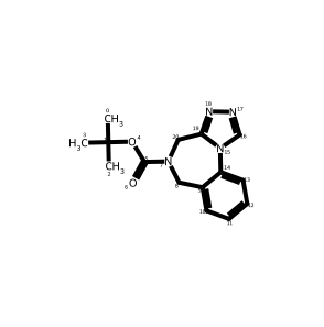 CC(C)(C)OC(=O)N1Cc2ccccc2-n2cnnc2C1